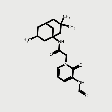 CC1CC2CC(C)(C)CC(NC(=O)Cn3cccc(NC=O)c3=O)(C1)C2